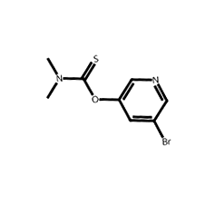 CN(C)C(=S)Oc1cncc(Br)c1